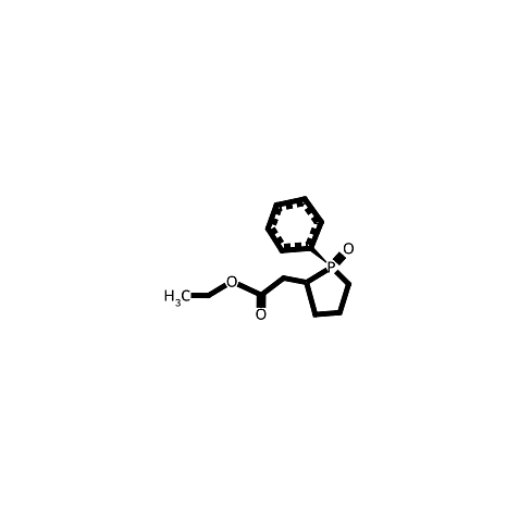 CCOC(=O)CC1CCC[P@]1(=O)c1ccccc1